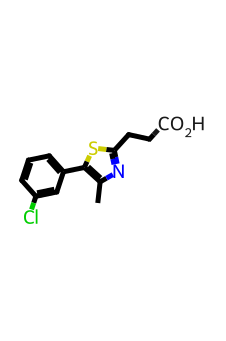 Cc1nc(CCC(=O)O)sc1-c1cccc(Cl)c1